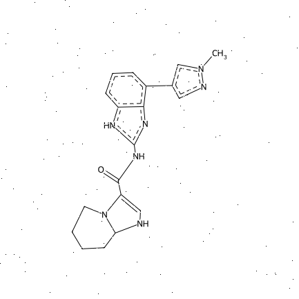 Cn1cc(-c2cccc3[nH]c(NC(=O)C4=CNC5CCCCN45)nc23)cn1